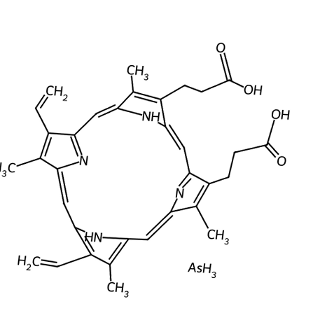 C=CC1=C(C)c2cc3[nH]c(cc4nc(cc5[nH]c(cc1n2)c(C)c5CCC(=O)O)C(CCC(=O)O)=C4C)c(C)c3C=C.[AsH3]